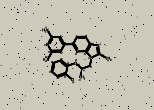 Cc1nc2ccc(-c3cc(N)nc(N)c3)nc2n1C[C@@H](C)Oc1ccccc1Cl